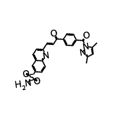 Cc1cc(C)n(C(=O)c2ccc(C(=O)C=Cc3ccc4cc(S(N)(=O)=O)ccc4n3)cc2)n1